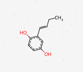 CCC=Cc1cc(O)ccc1O